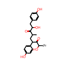 CC(CC(C(=O)C(O)C(C)C)c1ccc(O)cc1)C(=O)C(O)Cc1ccc(O)cc1